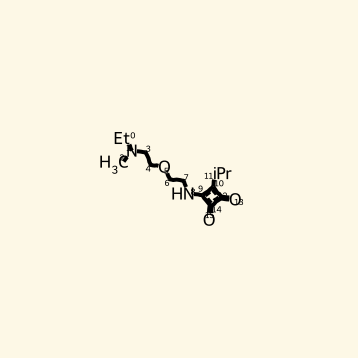 CCN(C)CCOCCNc1c(C(C)C)c(=O)c1=O